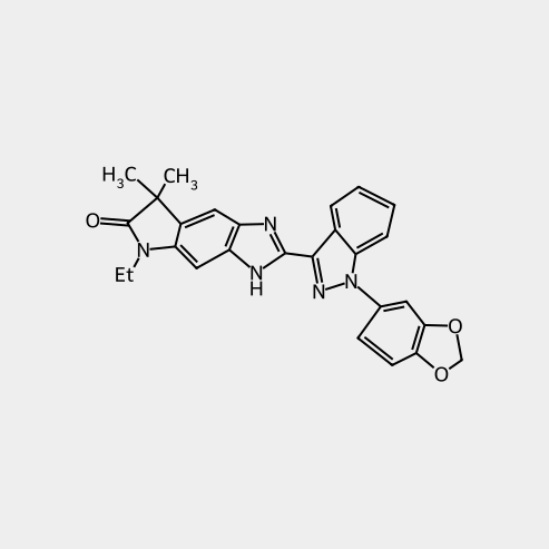 CCN1C(=O)C(C)(C)c2cc3nc(-c4nn(-c5ccc6c(c5)OCO6)c5ccccc45)[nH]c3cc21